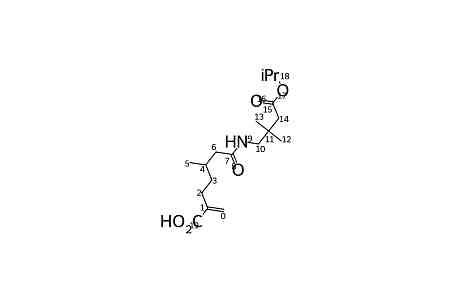 C=C(CCC(C)CC(=O)NCC(C)(C)CC(=O)OC(C)C)C(=O)O